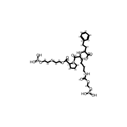 O=C(NCCCCC(NC(CCc1ccccc1)C(=O)O)C(=O)N1CCCC1C(=O)OCCSCCON(O)O)OCON(O)O